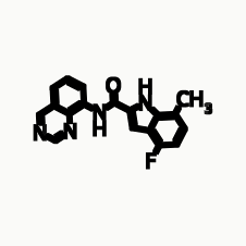 Cc1ccc(F)c2cc(C(=O)Nc3cccc4cncnc34)[nH]c12